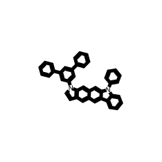 c1ccc(-c2cc(-c3ccccc3)cc(-n3ccc4cc5cc6c7ccccc7n(-c7ccccc7)c6cc5cc43)c2)cc1